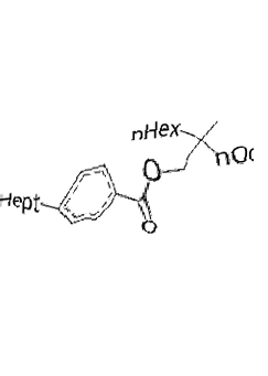 CCCCCCCCC(C)(CCCCCC)COC(=O)c1ccc(CCCCCCC)cc1